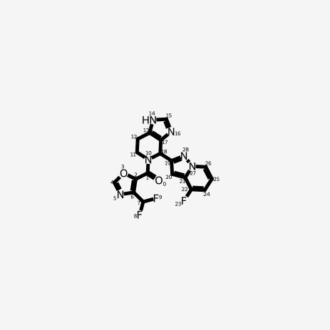 O=C(c1ocnc1C(F)F)N1CCc2[nH]cnc2C1c1cc2c(F)cccn2n1